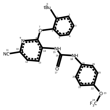 CC(C)(C)c1ccccc1Oc1nc(C#N)ccc1NC(=O)Nc1ccc(OC(F)(F)F)cc1